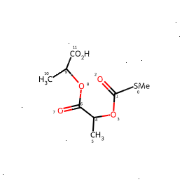 CSC(=O)OC(C)C(=O)OC(C)C(=O)O